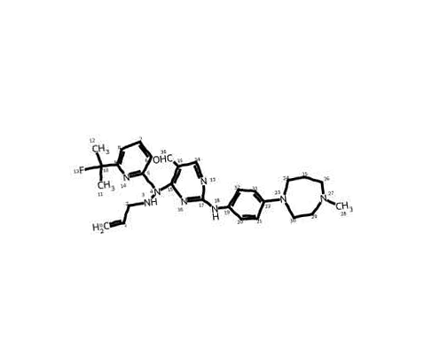 C=CCNN(c1cccc(C(C)(C)F)n1)c1nc(Nc2ccc(N3CCCN(C)CC3)cc2)ncc1C=O